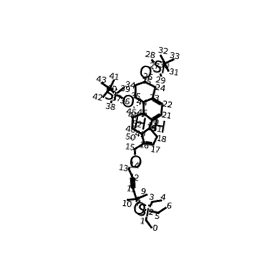 CC[Si](CC)(CC)OC(C)(C)C#CCOCC1=CC[C@H]2C3=CC=C4C[C@@H](O[Si](C)(C)C(C)(C)C)C[C@H](O[Si](C)(C)C(C)(C)C)[C@]4(C)[C@H]3CC[C@]12C